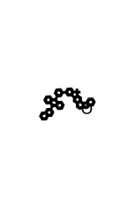 CC1(C)c2ccc(-c3cccc(-c4c5ccccc5c(-c5ccc6ccccc6c5)c5ccccc45)c3)cc2-c2cc3ccc4oc5ccccc5c4c3cc21